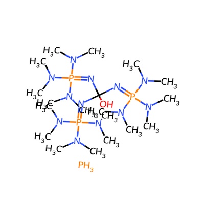 CN(C)P(=NC(O)(N=P(N(C)C)(N(C)C)N(C)C)N=P(N(C)C)(N(C)C)N(C)C)(N(C)C)N(C)C.P